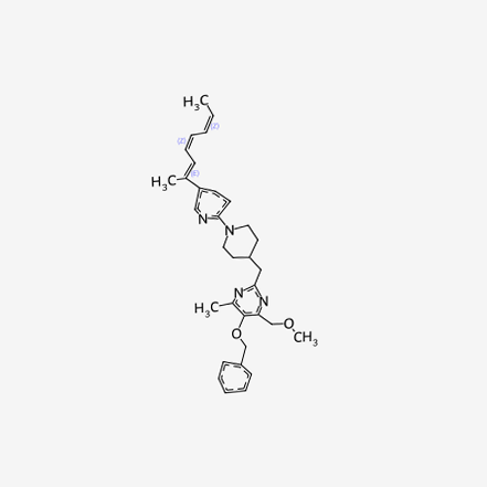 C\C=C/C=C\C=C(/C)c1ccc(N2CCC(Cc3nc(C)c(OCc4ccccc4)c(COC)n3)CC2)nc1